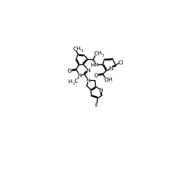 Cc1cc(C(C)Nc2ccc(Cl)nc2C(=O)O)c2nc(N3Cc4cc(F)cnc4C3)n(C)c(=O)c2c1